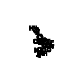 N#CC1(NC(=O)O[C@H]2C[C@@H](S(=O)(=O)c3ccc(N4CCNCC4)cc3Cl)CN2C(=O)C2(C(F)(F)F)CC2)CC1